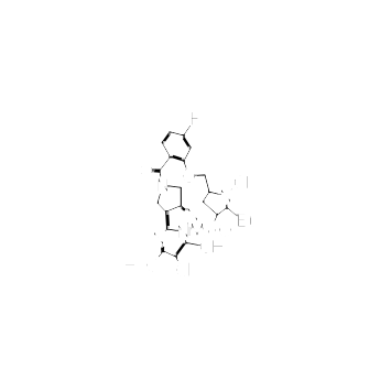 CCC1C(OC)CC(COc2cc(F)ccc2C(=O)N2Cc3nn4c(C)c(Cl)c(C)nc4c3C2)N1C